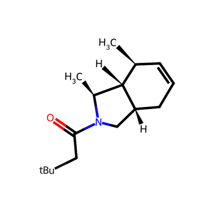 C[C@H]1C=CC[C@@H]2CN(C(=O)CC(C)(C)C)[C@@H](C)[C@@H]21